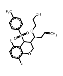 C=CC[C@H](OCCO)C1COc2c(F)ccc(F)c2[C@H]1S(=O)(=O)c1ccc(C(F)(F)F)cc1